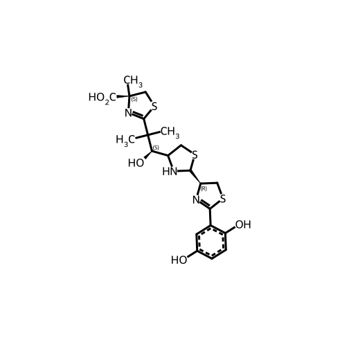 CC(C)(C1=N[C@@](C)(C(=O)O)CS1)[C@H](O)C1CSC([C@H]2CSC(c3cc(O)ccc3O)=N2)N1